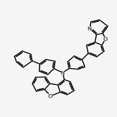 c1ccc(-c2ccc(N(c3ccc(-c4ccc5oc6cccnc6c5c4)cc3)c3cccc4oc5ccccc5c34)cc2)cc1